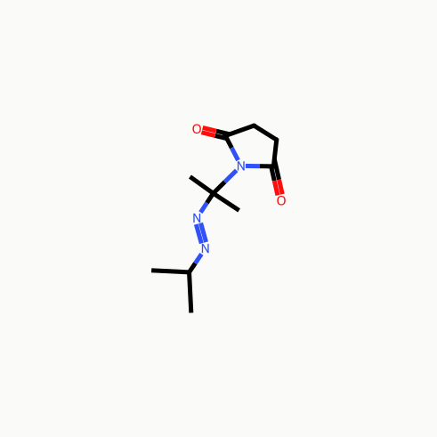 CC(C)N=NC(C)(C)N1C(=O)CCC1=O